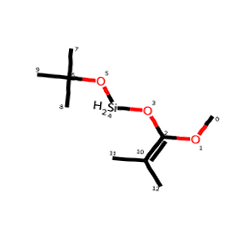 COC(O[SiH2]OC(C)(C)C)=C(C)C